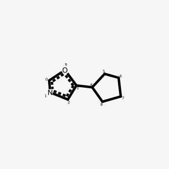 c1ncc(C2CCCC2)o1